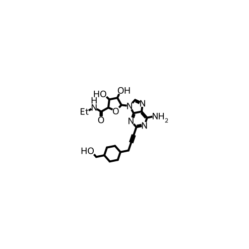 CCNC(=O)C1OC(n2cnc3c(N)nc(C#CCC4CCC(CO)CC4)nc32)C(O)C1O